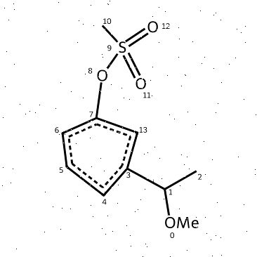 COC(C)c1cccc(OS(C)(=O)=O)c1